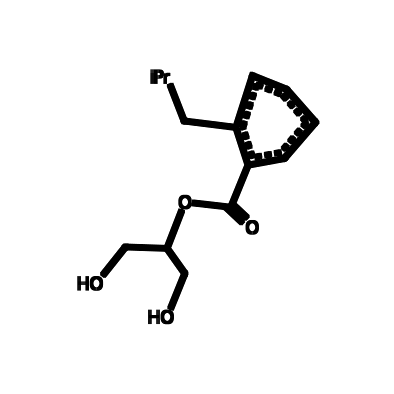 CC(C)Cc1ccccc1C(=O)OC(CO)CO